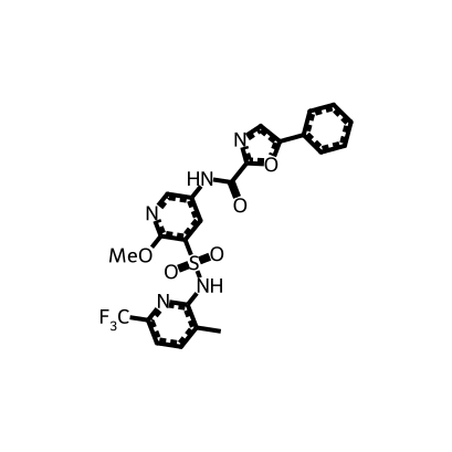 COc1ncc(NC(=O)c2ncc(-c3ccccc3)o2)cc1S(=O)(=O)Nc1nc(C(F)(F)F)ccc1C